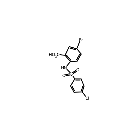 O=C(O)c1cc(Br)ccc1NS(=O)(=O)c1ccc(Cl)cc1